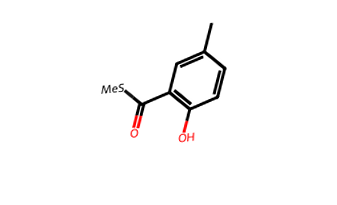 CSC(=O)c1cc(C)ccc1O